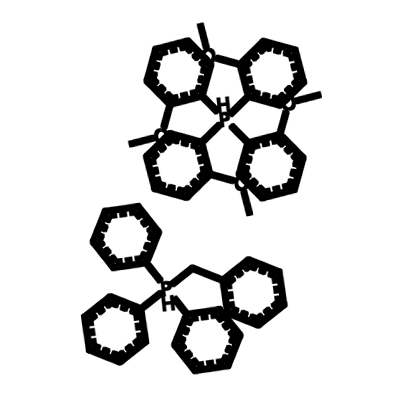 COc1ccccc1[PH](c1ccccc1OC)(c1ccccc1OC)c1ccccc1OC.c1ccc(C[PH](c2ccccc2)(c2ccccc2)c2ccccc2)cc1